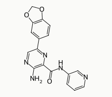 Nc1ncc(-c2ccc3c(c2)OCO3)nc1C(=O)Nc1cccnc1